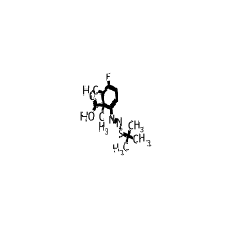 CC1C(F)=CC=C(N=NSC(C)(C)C)C1(C)C(=O)O